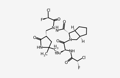 CC1(C)C[C@@H](CN(NC(=O)[C@@H]2[C@H]3CCC[C@H]3CN2C(=O)[C@@H](NC(=O)[C@@H](F)Cl)C(C)(C)C)C(=O)[C@@H](F)Cl)C(=O)N1